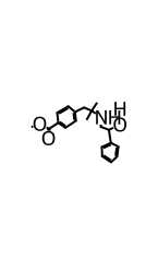 COC(=O)c1ccc(CC(C)(C)NCC(O)c2ccccc2)cc1